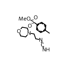 COS(=O)(=O)c1ccc(C)cc1.N=C=NCCN1CCOCC1